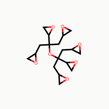 C1OC1CC(CC1CO1)(OC(CC1CO1)(CC1CO1)C1CO1)C1CO1